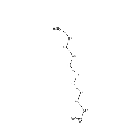 CCCCCCCCCCCCCCCCCOCCCCC